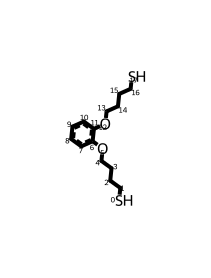 SCCCCOc1ccccc1OCCCCS